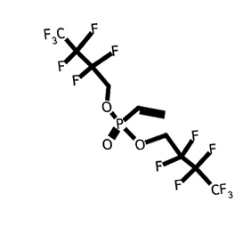 C=CP(=O)(OCC(F)(F)C(F)(F)C(F)(F)F)OCC(F)(F)C(F)(F)C(F)(F)F